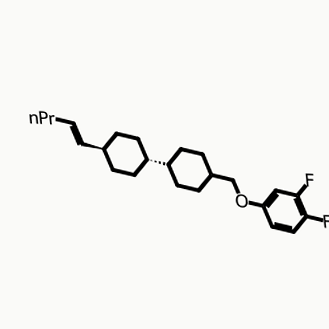 CCC/C=C/[C@H]1CC[C@H](C2CCC(COc3ccc(F)c(F)c3)CC2)CC1